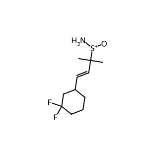 CC(C)(/C=C/C1CCCC(F)(F)C1)[S+](N)[O-]